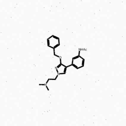 CC(=O)Nc1cccc(-c2cn(CCN(C)C)nc2OCc2ccccc2)c1